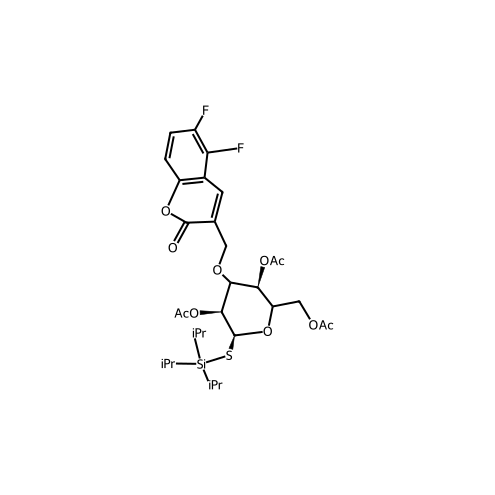 CC(=O)OCC1O[C@@H](S[Si](C(C)C)(C(C)C)C(C)C)[C@@H](OC(C)=O)C(OCc2cc3c(F)c(F)ccc3oc2=O)[C@H]1OC(C)=O